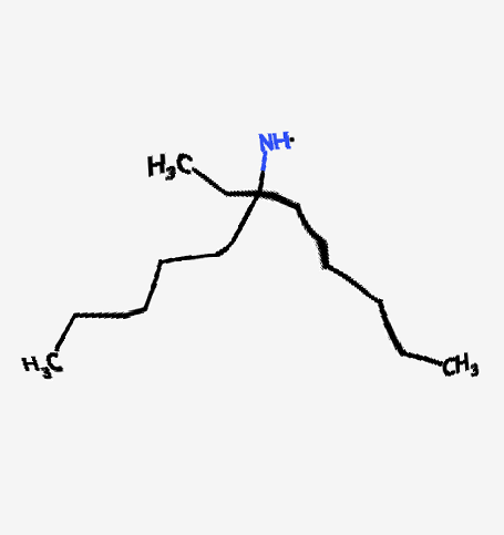 CCCCCC(C)([NH])CCCCC